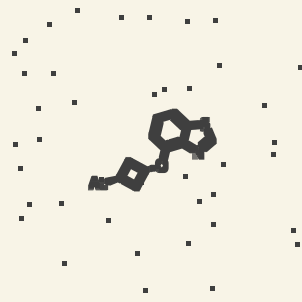 CC(=O)[C@H]1C[C@H](Oc2cccc3scnc23)C1